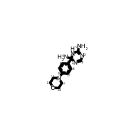 NC1=NC=NC(N)(c2ccc(N3CCOCC3)cc2)N1